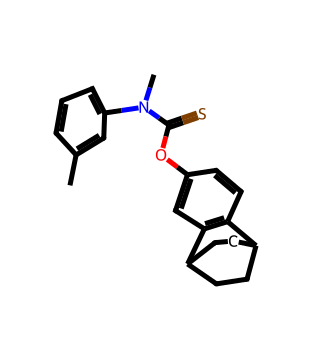 Cc1cccc(N(C)C(=S)Oc2ccc3c(c2)C2CCC3CC2)c1